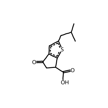 CC(C)Cc1cc2c(s1)C(C(=O)O)CC2=O